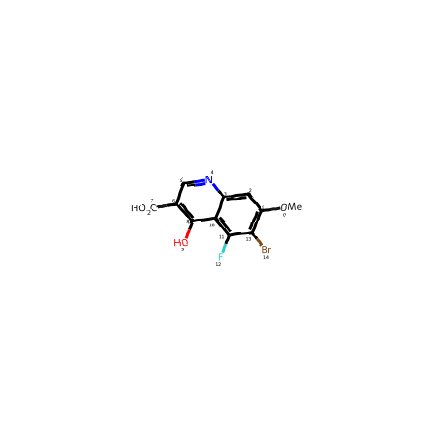 COc1cc2ncc(C(=O)O)c(O)c2c(F)c1Br